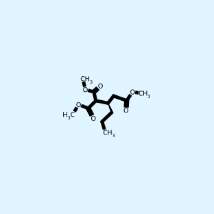 CCC[C@H](CC(=O)OC)C(C(=O)OC)C(=O)OC